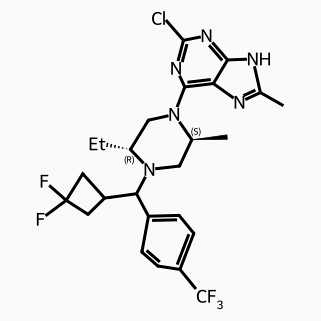 CC[C@@H]1CN(c2nc(Cl)nc3[nH]c(C)nc23)[C@@H](C)CN1C(c1ccc(C(F)(F)F)cc1)C1CC(F)(F)C1